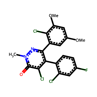 COc1cc(OC)c(Cl)c(-c2nn(C)c(=O)c(Cl)c2-c2ccc(F)cc2Cl)c1